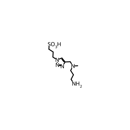 CN(CCCN)Cc1cn(CCCS(=O)(=O)O)nn1